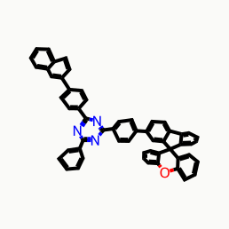 c1ccc(-c2nc(-c3ccc(-c4ccc5c(c4)C4(c6ccccc6Oc6ccccc64)c4ccccc4-5)cc3)nc(-c3ccc(-c4ccc5ccccc5c4)cc3)n2)cc1